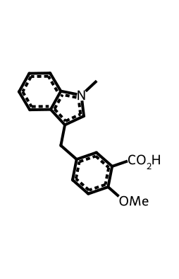 COc1ccc(Cc2cn(C)c3ccccc23)cc1C(=O)O